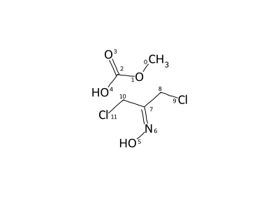 COC(=O)O.ON=C(CCl)CCl